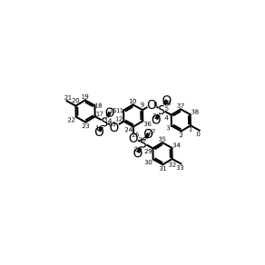 Cc1ccc(S(=O)(=O)Oc2ccc(OS(=O)(=O)c3ccc(C)cc3)c(OS(=O)(=O)c3ccc(C)cc3)c2)cc1